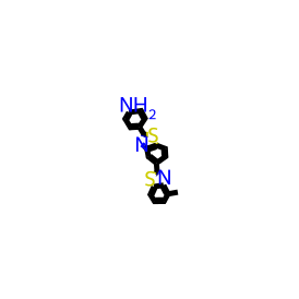 Cc1cccc2sc(-c3ccc4sc(-c5ccc(N)cc5)nc4c3)nc12